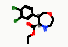 CCOC(=O)[C@H]1NCCOC[C@@H]1c1ccc(Cl)c(Cl)c1